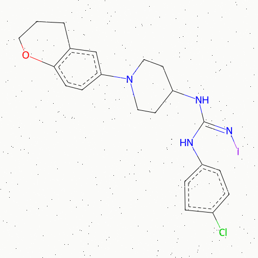 Clc1ccc(N/C(=N\I)NC2CCN(c3ccc4c(c3)CCCO4)CC2)cc1